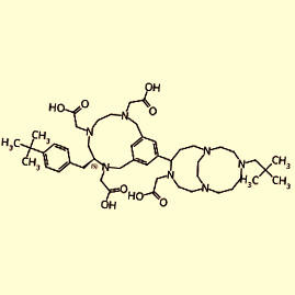 CC(C)(C)CN1CCCN2CCN(CCC(c3cc4cc(c3)CN(CC(=O)O)[C@@H](Cc3ccc(C(C)(C)C)cc3)CN(CC(=O)O)CCN(CC(=O)O)C4)N(CC(=O)O)CC2)CC1